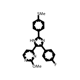 COc1nccc(-c2[nH]c(-c3ccc(SC)cc3)nc2-c2ccc(F)cc2)n1